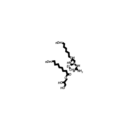 CCC.CCCCCCCCCCCCCCCCCC(=O)OCC(O)CO.CCCCCCCCCCCCCCCCO.NC(=O)NN1CCNC1